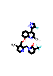 Cc1cc(-c2[nH]ncc2F)c2cccc(OCc3c(C)ccnc3Cn3cccc(C(F)(F)F)c3=O)c2n1